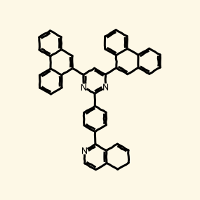 C1=Cc2c(ccnc2-c2ccc(-c3nc(-c4cc5ccccc5c5ccccc45)cc(-c4cc5ccccc5c5ccccc45)n3)cc2)CC1